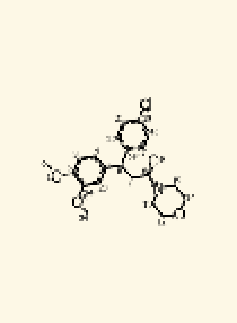 COc1ccc(C(CC(=O)N2CCOCC2)c2ccc(Cl)cc2)cc1OC